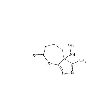 CC1=NN=C2OC(=O)CCCC12NO